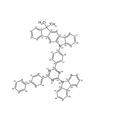 CC1(C)c2ccccc2-c2cc3c(cc21)c1ccccc1n3-c1ccc(-c2nc(-c3ccc(-c4ccccc4)cc3)nc(-n3c4ccccc4c4ccccc43)n2)cc1